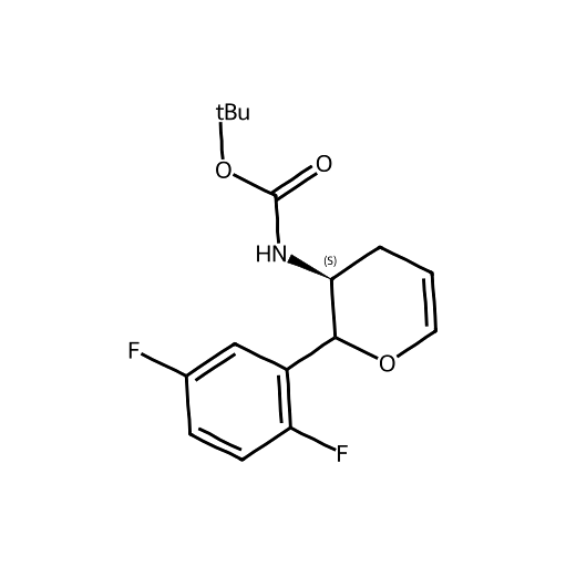 CC(C)(C)OC(=O)N[C@H]1CC=COC1c1cc(F)ccc1F